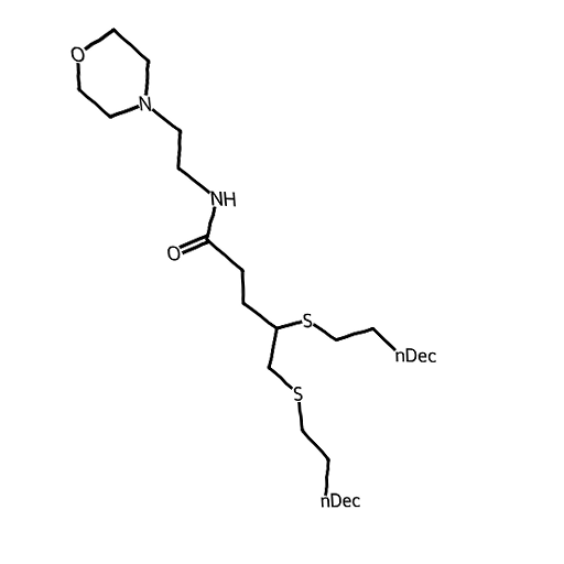 CCCCCCCCCCCCSCC(CCC(=O)NCCN1CCOCC1)SCCCCCCCCCCCC